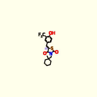 CC1(CN2C(=O)S/C(=C\c3ccc(O)c(C(F)(F)F)c3)C2=O)CCCCC1